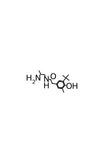 Cc1cc(CC(=O)NCC(C)N)cc(C(C)(C)C)c1O